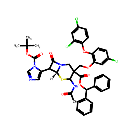 CC(=O)NC1S[C@@H]2C(c3cncn3C(=O)OC(C)(C)C)C(=O)N2CC1(COc1cc(Cl)ccc1Oc1ccc(Cl)cc1Cl)C(=O)OC(c1ccccc1)c1ccccc1